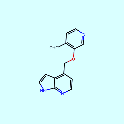 O=Cc1ccncc1OCc1ccnc2[nH]ccc12